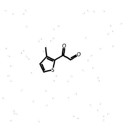 Cc1ccsc1C(=O)C=O